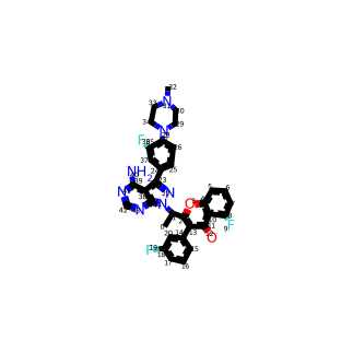 CC(c1oc2cccc(F)c2c(=O)c1-c1cccc(F)c1)n1nc(-c2ccc(N3CCN(C)CC3)c(F)c2)c2c(N)ncnc21